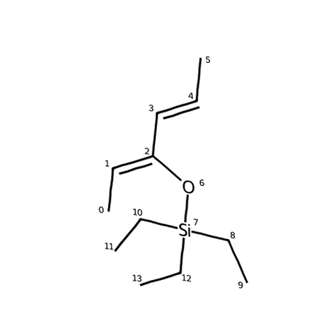 C/C=C(/C=C/C)O[Si](CC)(CC)CC